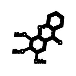 COc1cc2c(=O)c3ccccc3oc2c(OC)c1OC